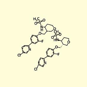 CS(=O)(=O)NC1CCOCC1COc1ccc(-c2ccc(Cl)cn2)cc1F.CS(=O)(=O)N[C@H]1CCOC[C@@H]1COc1ccc(-c2ccc(Cl)cn2)cc1F